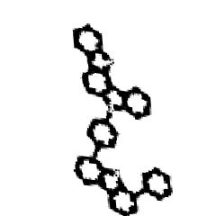 c1ccc(-c2cccc3c2oc2c(-c4ccc(-n5c6ccccc6c6c7sc8ccccc8c7ccc65)cc4)cccc23)cc1